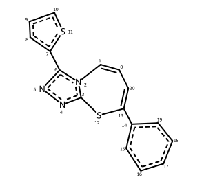 C1=Cn2c(nnc2-c2cccs2)SC(c2ccccc2)=C1